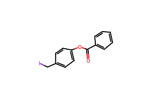 O=C(Oc1ccc(CI)cc1)c1ccccc1